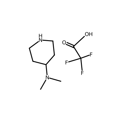 CN(C)C1CCNCC1.O=C(O)C(F)(F)F